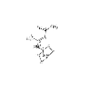 CC(=O)C=C(C)NC12CCC(CC1)C2